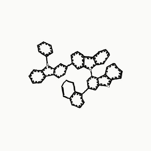 C1=Cc2cccc(-c3cc(-n4c5ccccc5c5ccc(-c6ccc7c8ccccc8n(-c8ccccc8)c7c6)cc54)c4c(c3)oc3ccccc34)c2CC1